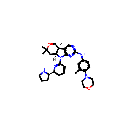 Cc1cc(Nc2ncc3c(n2)N(C2=NC([C@H]4CCCN4)CC=C2)[C@H]2CC(C)(C)OC[C@@]32C)ccc1N1CCOCC1